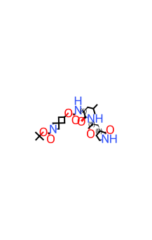 CC(C)C[C@H](NC(=O)OC1CC2(C1)CN(C(=O)OC(C)(C)C)C2)C(=O)N[C@H](C=O)C[C@H]1CCNC1=O